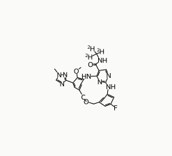 [2H]C([2H])([2H])NC(=O)c1cnc2nc1Nc1cc(cc(-c3ncn(C)n3)c1OC)COCc1cc(F)cc(c1)N2